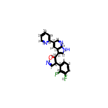 Fc1cccc(-c2cnoc2-c2c[nH]c3ncc(-c4ccccn4)cc23)c1F